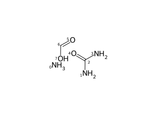 N.NC(N)=O.O=CO